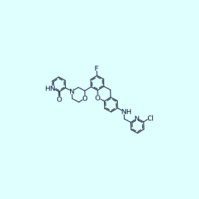 O=c1[nH]cccc1N1CCOC(c2cc(F)cc3c2Oc2ccc(NCc4cccc(Cl)n4)cc2C3)C1